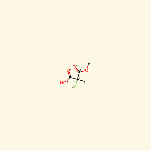 COC(=O)C(C)(F)C(=O)O